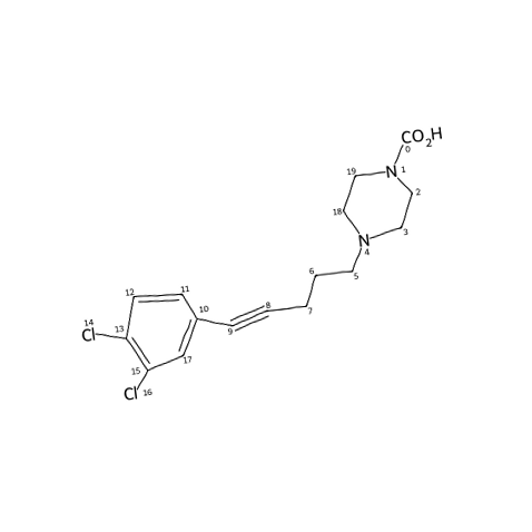 O=C(O)N1CCN(CCCC#Cc2ccc(Cl)c(Cl)c2)CC1